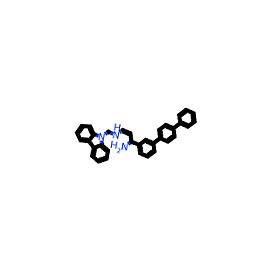 NC(/C=C\NCn1c2ccccc2c2ccccc21)c1cccc(-c2ccc(-c3ccccc3)cc2)c1